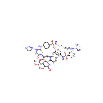 CC[C@@]1(OC(=O)[C@@H](NC(=O)[C@H](Cc2c[nH]cn2)NC(=S)Nc2ccc(S(=O)(=O)NC(CC(=O)O)c3cccc(NS(=O)(=O)c4cccc(NC(=N)N)c4)c3)cc2)C(C)C)C(=O)OCc2c1cc1n(c2=O)Cc2cc3ccccc3nc2-1